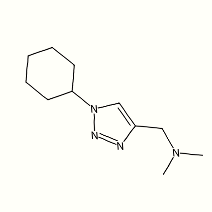 CN(C)Cc1cn(C2CCCCC2)nn1